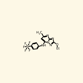 CCOc1nc2nc(C)cc(Nc3ccc(S(F)(F)(F)(F)F)cc3)n2n1